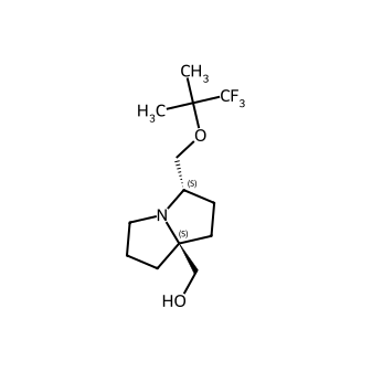 CC(C)(OC[C@@H]1CC[C@]2(CO)CCCN12)C(F)(F)F